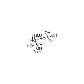 O.O.O.O[Si](O)(O)O.O[Si](O)(O)O.[NaH]